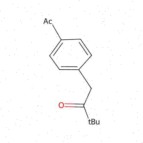 CC(=O)c1ccc(CC(=O)C(C)(C)C)cc1